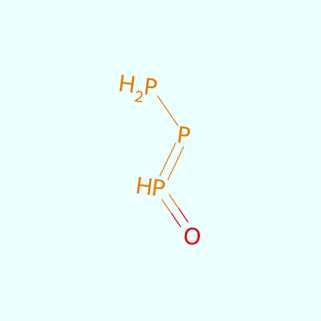 O=[PH]=PP